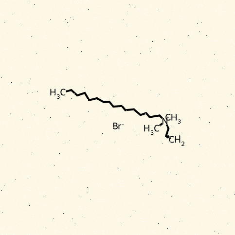 C=CC[N+](C)(C)CCCCCCCCCCCCCCCC.[Br-]